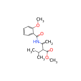 C=C(NC(=O)c1ccccc1OC)C(C(=O)OC)C(C)C